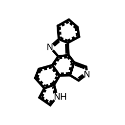 C1=NC=c2c1c1c(ccc3cc[nH]c31)c1c2=c2ccccc2=N1